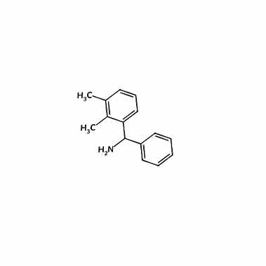 Cc1cccc(C(N)c2ccccc2)c1C